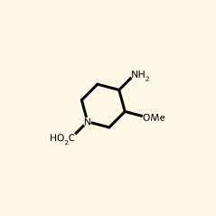 COC1CN(C(=O)O)CCC1N